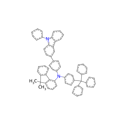 CC1(C)c2ccccc2-c2c(N(c3ccc(-c4ccc5c(c4)c4ccccc4n5-c4ccccc4)cc3)c3ccc(C(c4ccccc4)(c4ccccc4)c4ccccc4)cc3)cccc21